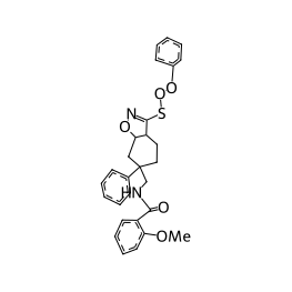 COc1ccccc1C(=O)NCC1(c2ccccc2)CCC2C(SOOc3ccccc3)=NOC2C1